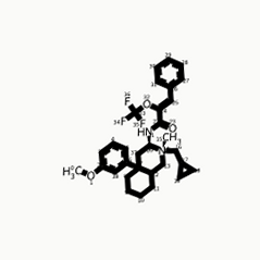 COc1cccc(C23CCCCC2C[N@@+](C)(CC2CC2)[C@H](NC(=O)C(=Cc2ccccc2)OC(F)(F)F)C3)c1